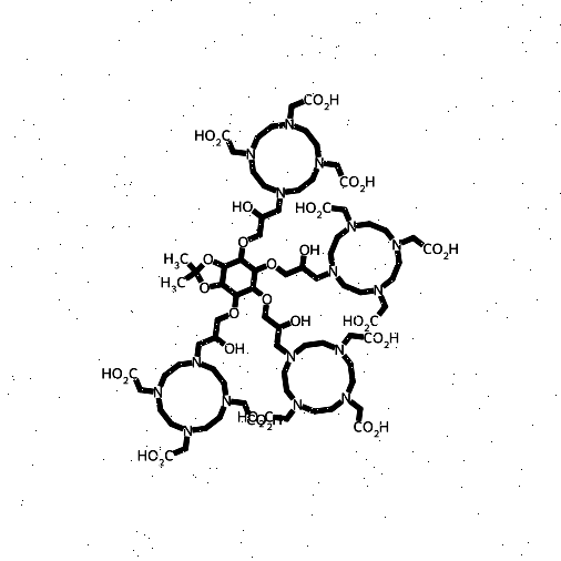 CC1(C)OC2C(OCC(O)CN3CCN(CC(=O)O)CCN(CC(=O)O)CCN(CC(=O)O)CC3)C(OCC(O)CN3CCN(CC(=O)O)CCN(CC(=O)O)CCN(CC(=O)O)CC3)C(OCC(O)CN3CCN(CC(=O)O)CCN(CC(=O)O)CCN(CC(=O)O)CC3)C(OCC(O)CN3CCN(CC(=O)O)CCN(CC(=O)O)CCN(CC(=O)O)CC3)C2O1